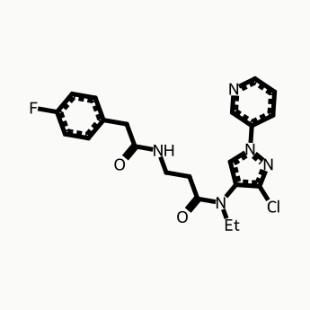 CCN(C(=O)CCNC(=O)Cc1ccc(F)cc1)c1cn(-c2cccnc2)nc1Cl